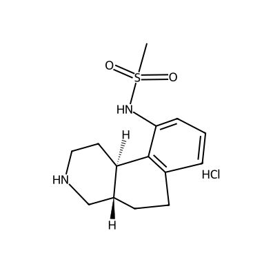 CS(=O)(=O)Nc1cccc2c1[C@@H]1CCNC[C@H]1CC2.Cl